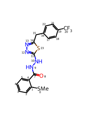 CSc1ccccc1C(=O)NNc1nnc(Cc2ccc(C(F)(F)F)cc2)s1